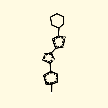 Clc1ccc(-c2nnc(-c3cc(C4CCCCC4)on3)o2)cc1